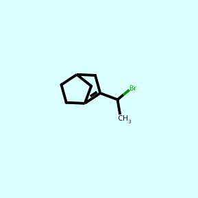 CC(Br)C1=C2CCC(C2)C1